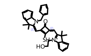 CC1(C)C(/C=C2/C(=O)C(/C=C3\N(Cc4ccccc4)c4ccccc4C3(C)C)=C2S)=[N+](CCO)c2ccccc21